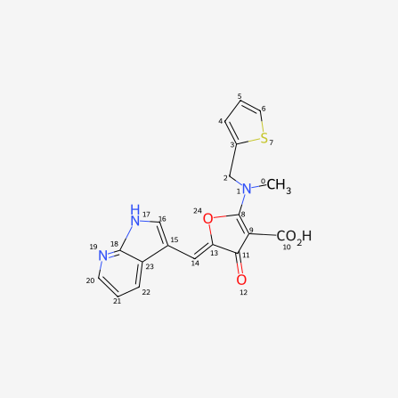 CN(Cc1cccs1)C1=C(C(=O)O)C(=O)/C(=C/c2c[nH]c3ncccc23)O1